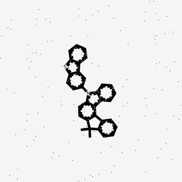 CC1(C)c2ccccc2-c2c1ccc1c2c2ccccc2n1-c1ccc2sc3ccccc3c2c1